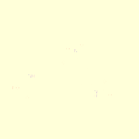 NC(Cc1ccc(Oc2ccc(CC3OC(=O)NC3=O)cc2[N+](=O)[O-])cc1)C(=O)O